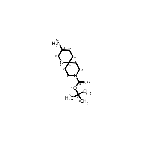 CC(C)(C)OC(=O)N1CCC2(CCC(N)CO2)CC1